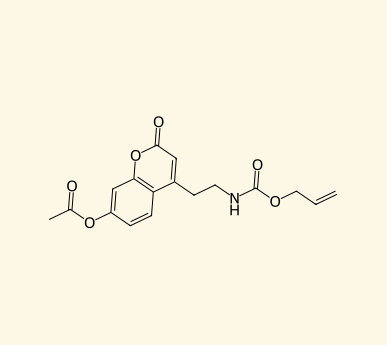 C=CCOC(=O)NCCc1cc(=O)oc2cc(OC(C)=O)ccc12